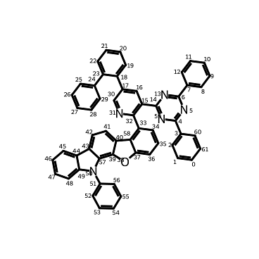 c1ccc(-c2nc(-c3ccccc3)nc(-c3cc(-c4ccccc4-c4ccccc4)cnc3-c3cccc4oc5c(ccc6c7ccccc7n(-c7ccccc7)c65)c34)n2)cc1